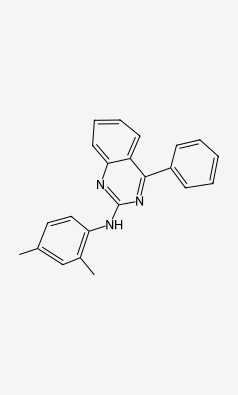 Cc1ccc(Nc2nc(-c3ccccc3)c3ccccc3n2)c(C)c1